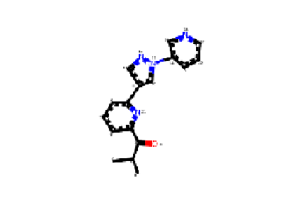 CC(C)C(=O)c1cccc(-c2cnn(-c3cccnc3)c2)n1